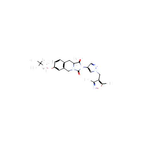 Cc1noc(C)c1Cn1cc(N2C(=O)[C@@H]3Cc4ccc(O[Si](C)(C)C(C)(C)C)cc4CN3C2=O)cn1